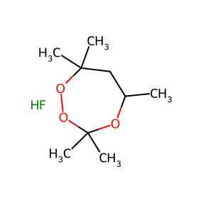 CC1CC(C)(C)OOC(C)(C)O1.F